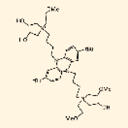 COCC[N+](CCO)(CCO)CCCCN1c2cc(C(C)(C)C)ccc2N(CCCC[N+](CCO)(CCOC)CCOC)c2cc(C(C)(C)C)ccc21